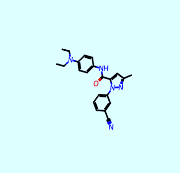 CCN(CC)c1ccc(NC(=O)c2cc(C)nn2-c2cccc(C#N)c2)cc1